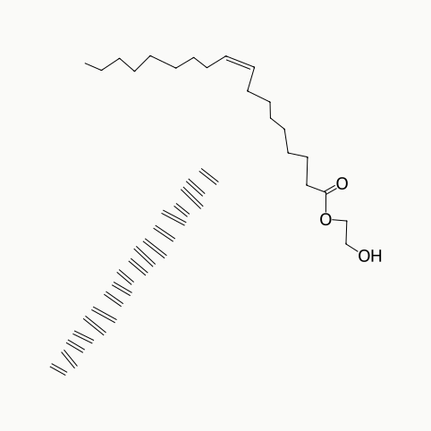 C=C.C=C.C=C.C=C.C=C.C=C.C=C.C=C.C=C.C=C.C=C.C=C.C=C.C=C.C=C.C=C.C=C.C=C.CCCCCCCC/C=C\CCCCCCCC(=O)OCCO